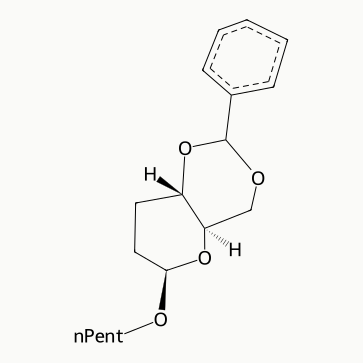 CCCCCO[C@H]1CC[C@@H]2OC(c3ccccc3)OC[C@H]2O1